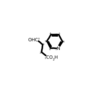 O=CCCC(=O)O.c1ccncc1